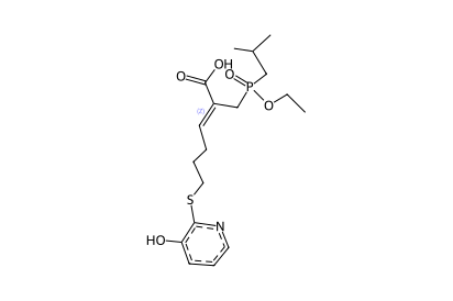 CCOP(=O)(C/C(=C\CCCSc1ncccc1O)C(=O)O)CC(C)C